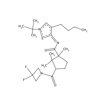 CCCCc1cn(C(C)(C)C)sc1=NC(=O)C1(C)CCC(C(=O)N2CC(F)(F)C2)C1(C)C